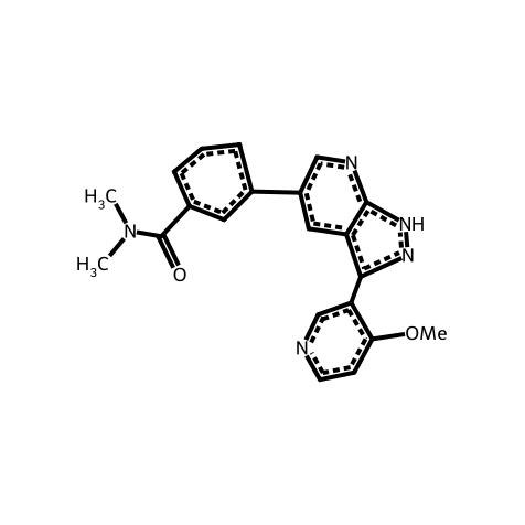 COc1ccncc1-c1n[nH]c2ncc(-c3cccc(C(=O)N(C)C)c3)cc12